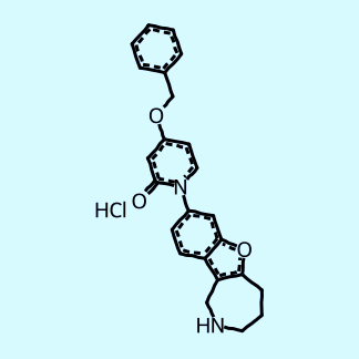 Cl.O=c1cc(OCc2ccccc2)ccn1-c1ccc2c3c(oc2c1)CCCNC3